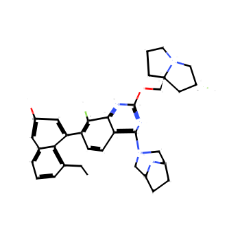 CCc1cccc2cc(O)cc(-c3ccc4c(N5CC6CCC(C5)N6)nc(OC[C@@]56CCCN5C[C@H](F)C6)nc4c3F)c12